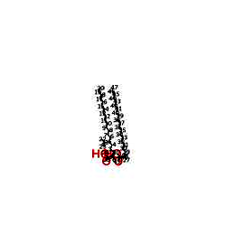 C=C(CCCC(CCCCCCCCCCCCCCC)C(C)C)C(=O)O.C=C(CCCCCCCCCCCCCCCCCCC)C(=O)O